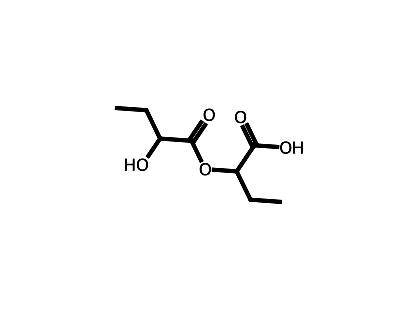 CCC(O)C(=O)OC(CC)C(=O)O